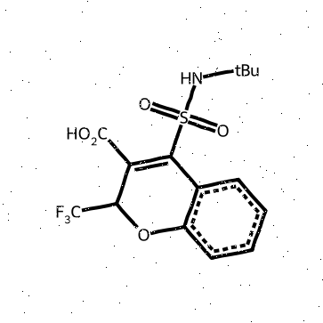 CC(C)(C)NS(=O)(=O)C1=C(C(=O)O)C(C(F)(F)F)Oc2ccccc21